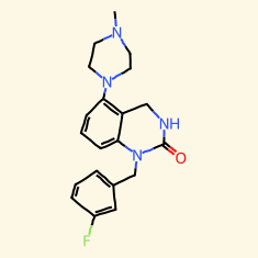 CN1CCN(c2cccc3c2CNC(=O)N3Cc2cccc(F)c2)CC1